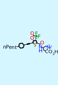 CCCCCc1ccc(C#Cc2ccc(C(=O)NC(CC(=O)O)C[N+](C)(C)C)s2)cc1.O=C([O-])C(F)(F)F